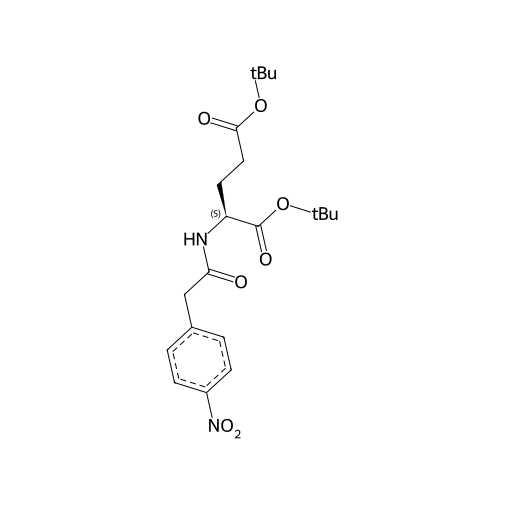 CC(C)(C)OC(=O)CC[C@H](NC(=O)Cc1ccc([N+](=O)[O-])cc1)C(=O)OC(C)(C)C